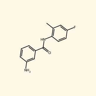 Cc1cc(F)ccc1NC(=O)c1cccc(N)c1